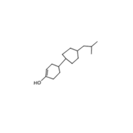 CC(C)CC1CCC(C2CC=C(O)CC2)CC1